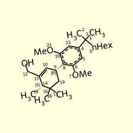 CCCCCCC(C)(C)c1cc(OC)c([C@H]2C=C(CO)[C@@H](C)C(C)(C)C2)c(OC)c1